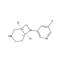 Fc1cncc(N2C[C@@H]3CNCC[C@@H]32)c1